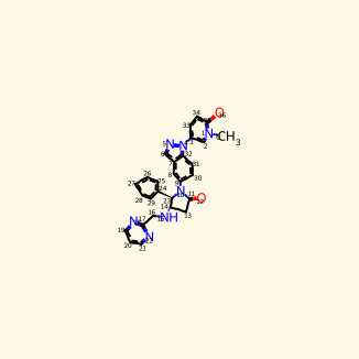 Cn1cc(-n2ncc3cc(N4C(=O)C[C@H](NCc5ncccn5)[C@H]4c4ccccc4)ccc32)ccc1=O